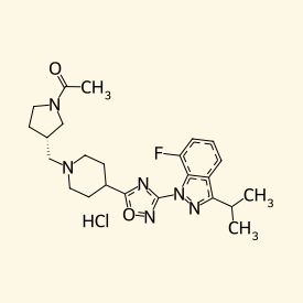 CC(=O)N1CC[C@@H](CN2CCC(c3nc(-n4nc(C(C)C)c5cccc(F)c54)no3)CC2)C1.Cl